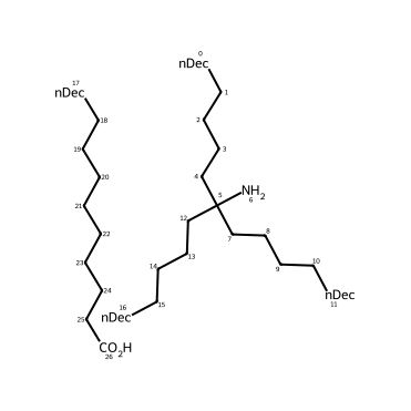 CCCCCCCCCCCCCCC(N)(CCCCCCCCCCCCCC)CCCCCCCCCCCCCC.CCCCCCCCCCCCCCCCCCC(=O)O